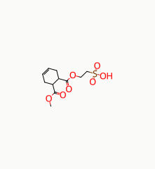 COC(=O)C1CC=CCC1C(=O)OCCS(=O)(=O)O